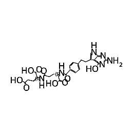 Nc1nc(O)c2c(CCc3ccc(C(=O)N[C@@H](CCC(=O)N[C@@H](CCC(=O)O)C(=O)O)C(=O)O)cc3)c[nH]c2n1